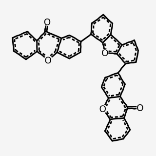 O=c1c2ccccc2oc2ccc(-c3cccc4c3oc3c(-c5ccc6oc7ccccc7c(=O)c6c5)cccc34)cc12